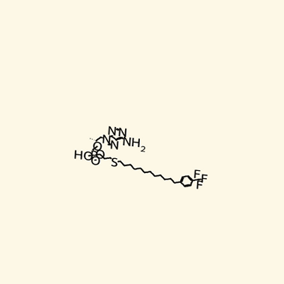 C[C@H](Cn1cnc2c(N)ncnc21)OCP(=O)(O)OCCSCCCCCCCCCCCCc1ccc(C(F)(F)F)cc1